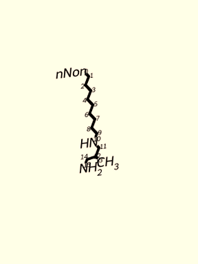 CCCCCCCCCCCCCCCCCCNCC(C)CN